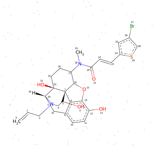 C=CCN1CC(O)[C@]23c4c5ccc(O)c4OC2C(N(C)C(=O)/C=C/c2cc(Br)cs2)CC[C@@]3(O)[C@H]1C5